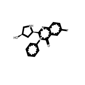 O=c1c2cc(F)ccc2nc([C@H]2C[C@@H](O)CN2)n1-c1ccccc1